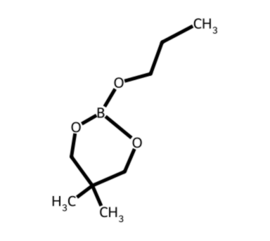 CCCOB1OCC(C)(C)CO1